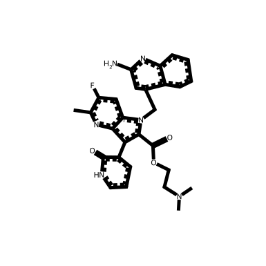 Cc1nc2c(-c3ccc[nH]c3=O)c(C(=O)OCCN(C)C)n(Cc3cc(N)nc4ccccc34)c2cc1F